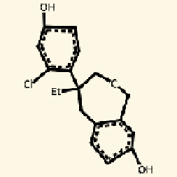 CCC1(c2ccc(O)cc2Cl)CCCc2cc(O)ccc2C1